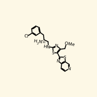 COCc1nc(NC[C@H](N)Cc2cccc(Cl)c2)sc1-c1nc2ccncc2s1